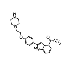 NC(=O)c1cccc2[nH]c(-c3ccc(OCCN4CCNCC4)cc3)cc12